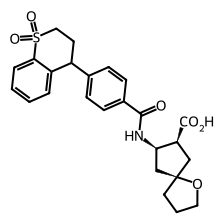 O=C(N[C@@H]1C[C@@]2(CCCO2)C[C@@H]1C(=O)O)c1ccc(C2CCS(=O)(=O)c3ccccc32)cc1